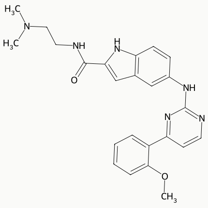 COc1ccccc1-c1ccnc(Nc2ccc3[nH]c(C(=O)NCCN(C)C)cc3c2)n1